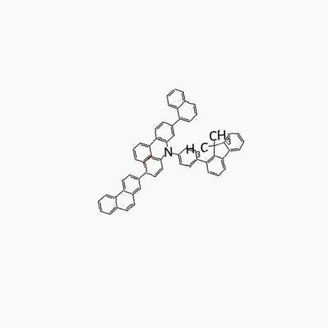 CC1(C)c2ccccc2-c2cccc(-c3ccc(N(c4ccc(-c5ccc6c(ccc7ccccc76)c5)cc4)c4cc(-c5cccc6ccccc56)ccc4-c4ccccc4)cc3)c21